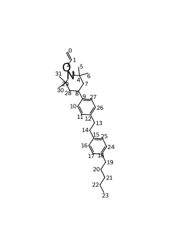 C=CON1C(C)(C)CC(c2ccc(CCc3ccc(CCCCC)cc3)cc2)CC1(C)C